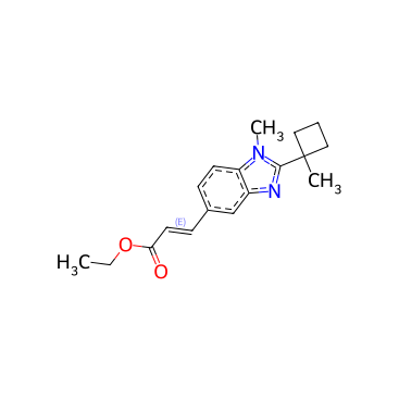 CCOC(=O)/C=C/c1ccc2c(c1)nc(C1(C)CCC1)n2C